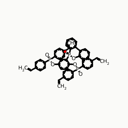 C=Cc1ccc(P(=O)(Oc2ccc(OP(=O)(c3ccc(C=C)cc3)c3ccc(C=C)cc3)c(P3(=O)Oc4ccccc4-c4ccccc43)c2)c2ccc(C=C)cc2)cc1